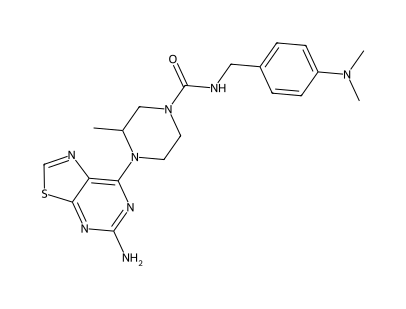 CC1CN(C(=O)NCc2ccc(N(C)C)cc2)CCN1c1nc(N)nc2scnc12